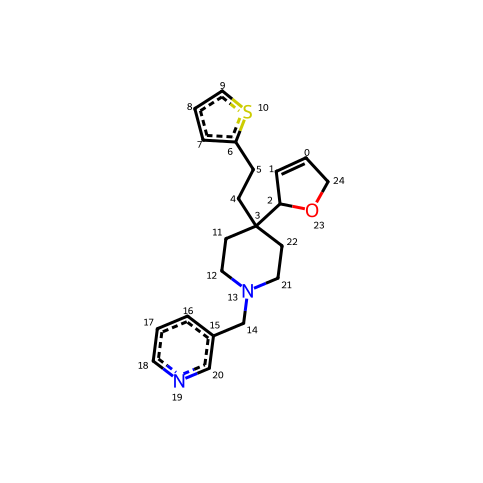 C1=CC(C2(CCc3cccs3)CCN(Cc3cccnc3)CC2)OC1